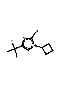 CC(C)c1nc(C(C)(F)F)cn1C1CCC1